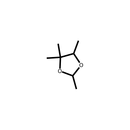 CC1OC(C)C(C)(C)O1